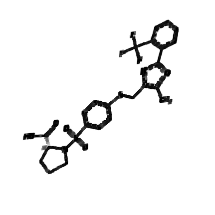 Cc1oc(-c2ccccc2C(F)(F)F)nc1CSc1ccc(S(=O)(=O)N2CCC[C@@H]2C(=O)O)cc1